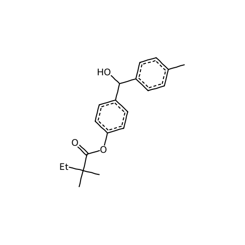 CCC(C)(C)C(=O)Oc1ccc(C(O)c2ccc(C)cc2)cc1